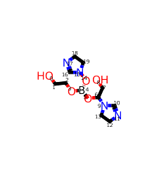 OCCOB(OC(CO)N1C=NCC1)ON1C=NCC1